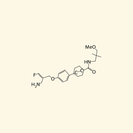 COCC(C)(C)CNC(=O)C12CCC(c3ccc(OCC(=CF)CN)cc3)(CC1)CC2